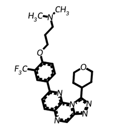 CN(C)CCCOc1ccc(-c2ccc3ncc4nnc(C5CCOCC5)n4c3n2)cc1C(F)(F)F